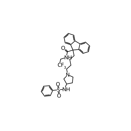 O=C(NCC(F)(F)F)C1(CCCCN2CCC(NS(=O)(=O)c3ccccc3)C2)c2ccccc2-c2ccccc21